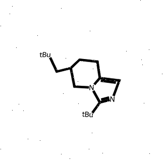 CC(C)(C)CC1CCc2cnc(C(C)(C)C)n2C1